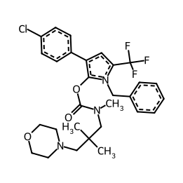 CN(CC(C)(C)CN1CCOCC1)C(=O)Oc1c(-c2ccc(Cl)cc2)cc(C(F)(F)F)n1Cc1ccccc1